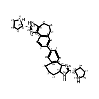 c1cc2c(cc1-c1ccc3c(c1)CCCC1NC([C@@H]4CCCN4)=NC31)CCCc1[nH]c([C@@H]3CCCN3)nc1-2